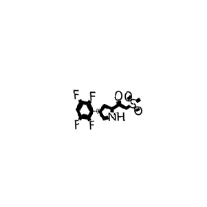 CS(=O)(=O)CC(=O)C1C[C@@H](c2c(F)c(F)cc(F)c2F)CN1